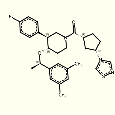 C[C@@H](O[C@H]1CCN(C(=O)[C@@H]2CC[C@H](n3cnnc3)C2)C[C@@H]1c1ccc(F)cc1)c1cc(C(F)(F)F)cc(C(F)(F)F)c1